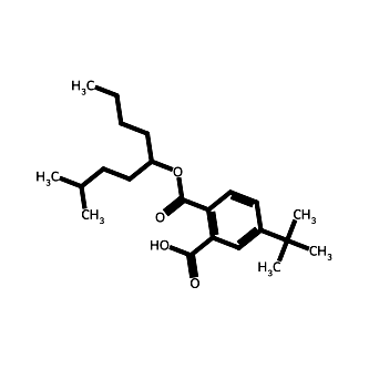 CCCCC(CCC(C)C)OC(=O)c1ccc(C(C)(C)C)cc1C(=O)O